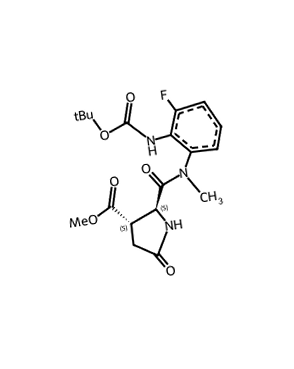 COC(=O)[C@H]1CC(=O)N[C@@H]1C(=O)N(C)c1cccc(F)c1NC(=O)OC(C)(C)C